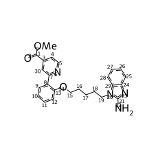 COC(=O)c1ccnc(-c2ccccc2OCCCCCn2c(N)nc3ccccc32)c1